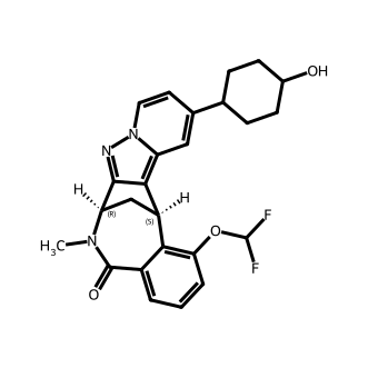 CN1C(=O)c2cccc(OC(F)F)c2[C@H]2C[C@@H]1c1nn3ccc(C4CCC(O)CC4)cc3c12